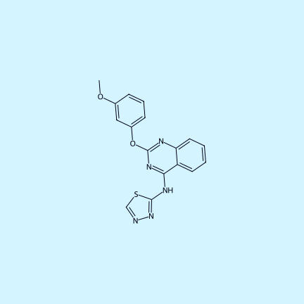 COc1cccc(Oc2nc(Nc3nncs3)c3ccccc3n2)c1